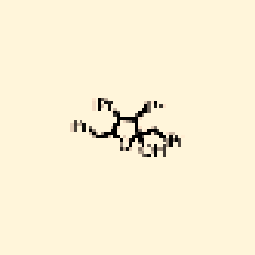 CC(C)CC1OC(O)(CC(C)C)C(C(C)C)C1C(C)C